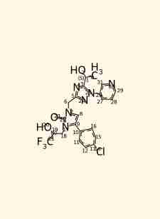 C[C@H](O)c1nc(Cn2cc(-c3ccc(Cl)cc3)n(C[C@H](O)C(F)(F)F)c2=O)nn1-c1cccnc1